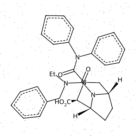 CCN(Cc1ccccc1)C(=O)N1[C@H]2CC[C@@H]1[C@@H](C(=O)O)N(C(=O)N(c1ccccc1)c1ccccc1)C2